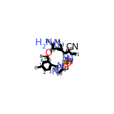 Cc1ccc2c(c1)[C@@H](C)Oc1cc(cnc1N)-c1c(C#N)c(C)nn1S(=O)(=O)n1ccnc1-2